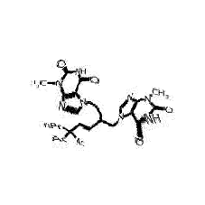 CCCC(CCC(Cn1cnc2c1c(=O)[nH]c(=O)n2C)Cn1cnc2c1c(=O)[nH]c(=O)n2C)(C(C)=O)C(C)=O